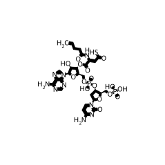 C=CCCC(=O)N/C(=C\C(=O)S)C(=O)O[C@H]1[C@@H](O)[C@H](n2cnc3c(N)ncnc32)O[C@@H]1COP(=O)(O)O[C@H]1C[C@H](n2ccc(N)nc2=O)O[C@@H]1COP(=O)(O)O